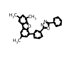 Cc1cc(C)c2oc3c(-c4cccc(-c5nnc(-c6ccccc6)o5)c4)cc(C)cc3c2c1